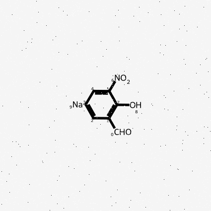 O=Cc1cccc([N+](=O)[O-])c1O.[Na]